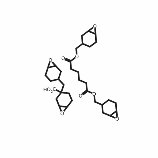 O=C(CCCCC(=O)OCC1CCC2OC2C1)OCC1CCC2OC2C1.O=C(O)C1(CC2CCC3OC3C2)CCC2OC2C1